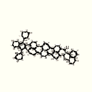 O=c1c2ccc3c4ccc5c6ccc7c8c(ccc(c9ccc(c%10ccc(c2c3%10)c2nc3cccc%10cccc(c%103)n12)c4c59)c86)-c1c-7c(-c2ccccc2)c2ccccc2c1-c1ccccc1